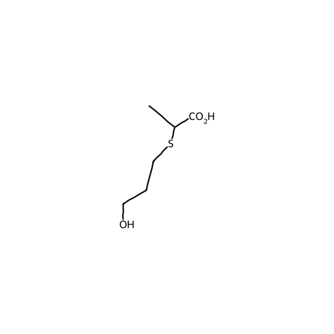 CC(SCCCO)C(=O)O